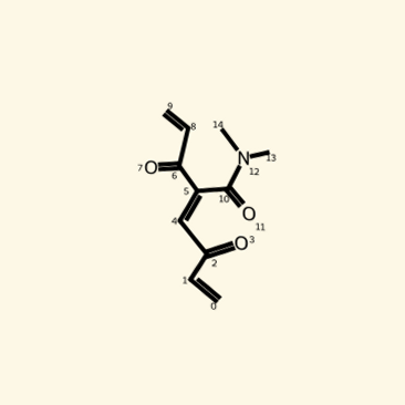 C=CC(=O)C=C(C(=O)C=C)C(=O)N(C)C